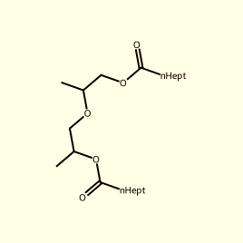 CCCCCCCC(=O)OCC(C)OCC(C)OC(=O)CCCCCCC